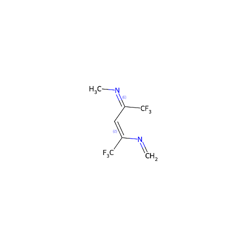 C=N/C(=C\C(=N/C)C(F)(F)F)C(F)(F)F